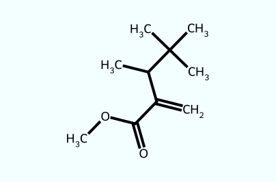 C=C(C(=O)OC)C(C)C(C)(C)C